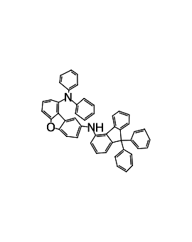 c1ccc(N(c2ccccc2)c2cccc3oc4ccc(Nc5cccc6c5-c5ccccc5C6(c5ccccc5)c5ccccc5)cc4c23)cc1